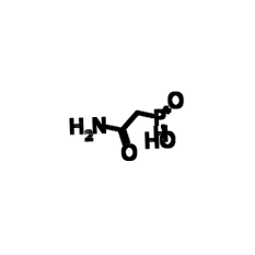 NC(=O)C[PH](=O)O